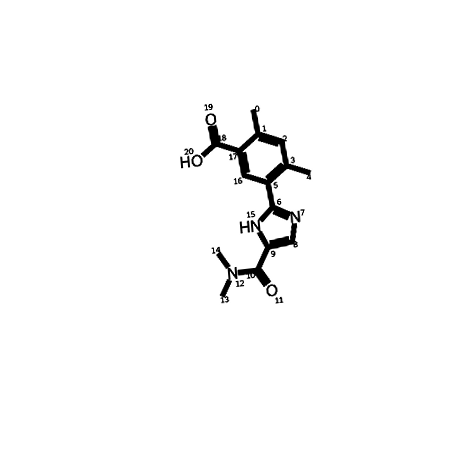 Cc1cc(C)c(-c2ncc(C(=O)N(C)C)[nH]2)cc1C(=O)O